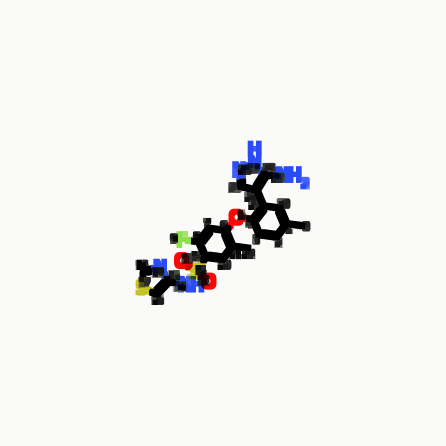 Cc1ccc(Oc2cc(F)c(S(=O)(=O)Nc3cscn3)cc2C)c(-c2cn[nH]c2N)c1